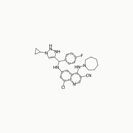 N#Cc1cnc2c(Cl)cc(NC(C3=CN(C4CC4)NN3)c3ccc(F)cc3)cc2c1NN1CCCCCC1